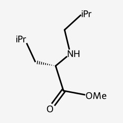 COC(=O)[C@H](CC(C)C)NCC(C)C